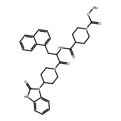 CC(C)(C)OC(=O)N1CCC(C(=O)NC(Cc2cccc3ccccc23)C(=O)N2CCC(n3c(=O)[nH]c4ccccc43)CC2)CC1